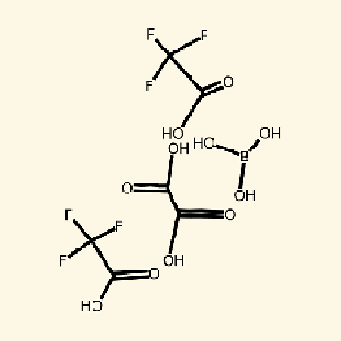 O=C(O)C(=O)O.O=C(O)C(F)(F)F.O=C(O)C(F)(F)F.OB(O)O